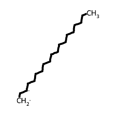 [CH2]C[CH]CCCCCCCCCCCCCCCC